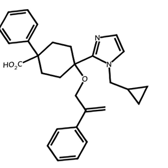 C=C(COC1(c2nccn2CC2CC2)CCC(C(=O)O)(c2ccccc2)CC1)c1ccccc1